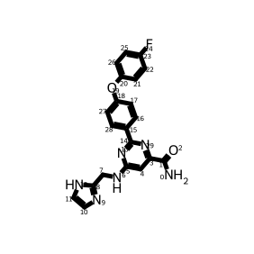 NC(=O)c1cc(NCc2ncc[nH]2)nc(-c2ccc(Oc3ccc(F)cc3)cc2)n1